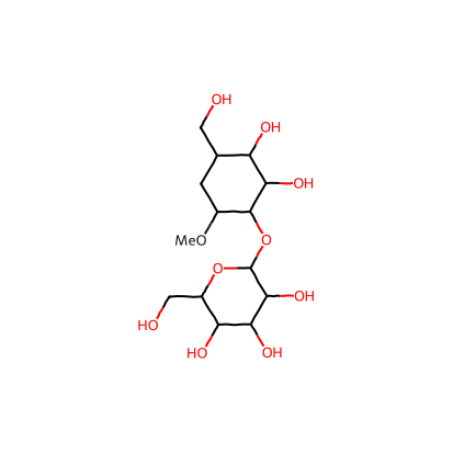 COC1CC(CO)C(O)C(O)C1OC1OC(CO)C(O)C(O)C1O